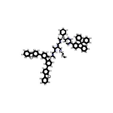 C=NS/N=C/C(=C\C=C(/C)N(C1=CCCC=C1)C(C)/C=C\C(=C/C)c1ccc2c(c1)C(c1ccccc1)(c1ccccc1)c1ccccc1-2)C(/C)=C/C=C(\C)n1c2ccc(-c3ccc4c(c3)oc3ccccc34)cc2c2cc(-c3ccc4c(c3)oc3ccccc34)ccc21